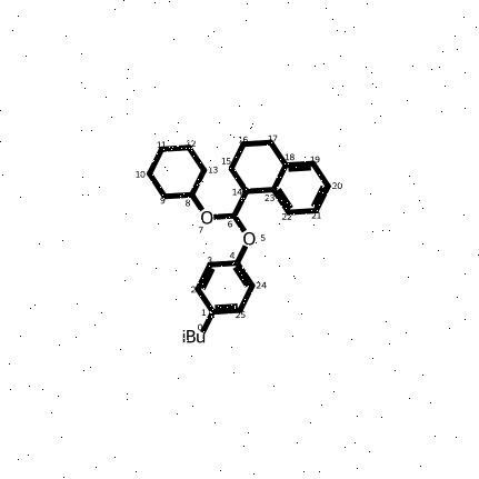 CCC(C)c1ccc(OC(OC2CCCCC2)C2CCCc3ccccc32)cc1